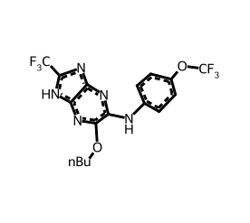 CCCCOc1nc2[nH]c(C(F)(F)F)nc2nc1Nc1ccc(OC(F)(F)F)cc1